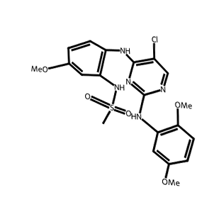 COc1ccc(Nc2nc(Nc3cc(OC)ccc3OC)ncc2Cl)c(NS(C)(=O)=O)c1